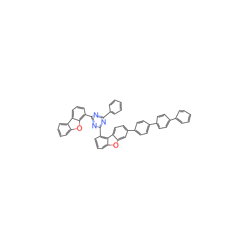 c1ccc(-c2ccc(-c3ccc(-c4ccc5c(c4)oc4cccc(-c6nc(-c7ccccc7)nc(-c7cccc8c7oc7ccccc78)n6)c45)cc3)cc2)cc1